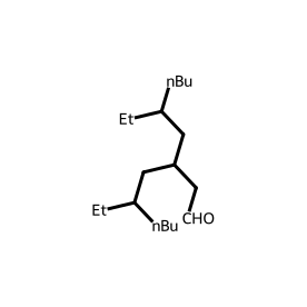 CCCCC(CC)CC(CC=O)CC(CC)CCCC